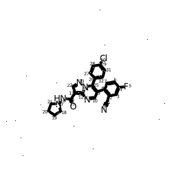 N#Cc1cc(F)ccc1-c1cnc2c(C(=O)NN3CCCC3)cnn2c1-c1ccc(Cl)cc1